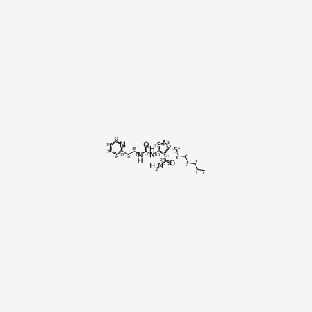 CCCCCCSc1nsc(NC(=O)NCCc2ccccn2)c1C(N)=O